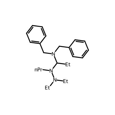 CCCN(C(CC)N(Cc1ccccc1)Cc1ccccc1)N(CC)CC